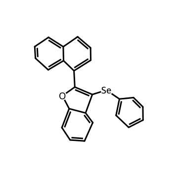 c1ccc([Se]c2c(-c3cccc4ccccc34)oc3ccccc23)cc1